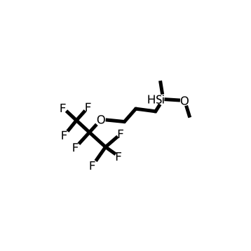 CO[SiH](C)CCCOC(F)(C(F)(F)F)C(F)(F)F